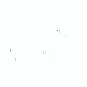 CC(/C=N\O[C@H](C)C(=O)O)CNC(=O)c1ccc(-c2noc(C(F)(F)F)n2)cc1